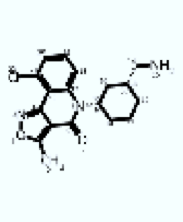 Cc1onc2c1c(=O)n([C@H]1CCC[C@@H](CN)C1)c1cccc(Cl)c21